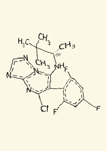 C[C@H](Nc1c(-c2c(F)cc(F)cc2F)c(Cl)nc2ncnn12)C(C)(C)C